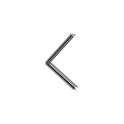 [K+].[K+].[K+].[K+].[K+].[K+].[K+].[K+].[K+].[K+].[K+].[K+].[K+].[K+].[K+].[K+].[K+].[K+].[K+].[K+].[K+].[K+].[K+].[K+].[K+].[K+].[K+].[K+].[K+].[K+].[K+].[K+].[K+].[K+].[K+].[K+].[K+].[K+].[K+].[K+].[K+].[K+].[K+].[K+].[K+].[K+].[K+].[K+].[K+]